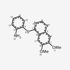 COc1cc2ncnc(Sc3ccccc3N)c2cc1OC